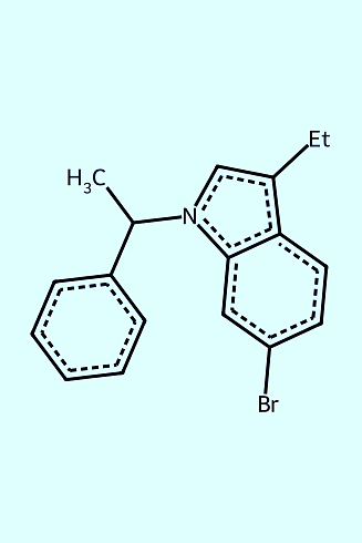 [CH2]Cc1cn(C(C)c2ccccc2)c2cc(Br)ccc12